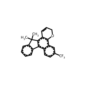 CC1(C)c2ccccc2-c2c1c1c(c3cc(C(F)(F)F)ccc23)OCC=C1